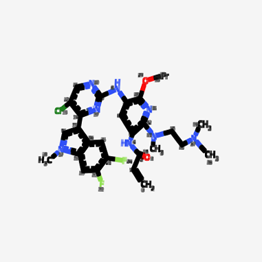 C=CC(=O)Nc1cc(Nc2ncc(Cl)c(-c3cn(C)c4cc(F)c(F)cc34)n2)c(OC(C)C)nc1N(C)CCN(C)C